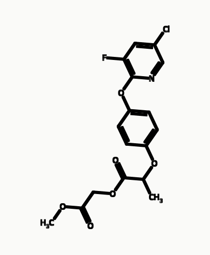 COC(=O)COC(=O)C(C)Oc1ccc(Oc2ncc(Cl)cc2F)cc1